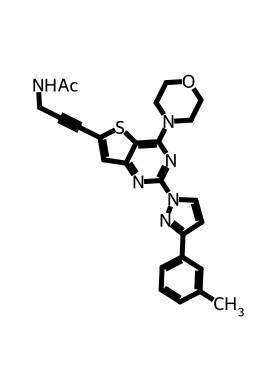 CC(=O)NCC#Cc1cc2nc(-n3ccc(-c4cccc(C)c4)n3)nc(N3CCOCC3)c2s1